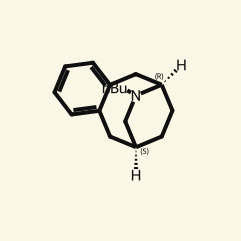 CCCCN1C[C@H]2CC[C@@H]1Cc1ccccc1C2